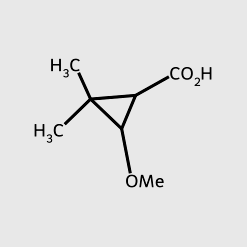 COC1C(C(=O)O)C1(C)C